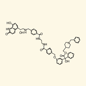 O=C(NCCNC(=O)c1ccc(COc2cccc(C(O)(C(=O)OCC3CCN(Cc4ccccc4)CC3)c3ccccc3)c2)cc1)c1ccc(CNC[C@H](O)c2ccc(O)c3[nH]c(=O)ccc23)cc1